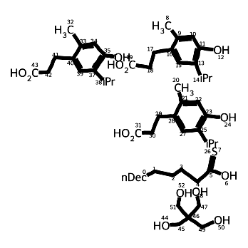 CCCCCCCCCCCCCCC(O)=S.Cc1cc(O)c(C(C)C)cc1CCC(=O)O.Cc1cc(O)c(C(C)C)cc1CCC(=O)O.Cc1cc(O)c(C(C)C)cc1CCC(=O)O.OCC(CO)(CO)CO